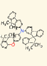 CC1(C)CC2(c3ccccc3-c3ccc(N(c4ccc5c(c4)C(C)(C)c4ccccc4O5)c4ccc5c(c4)C(C)(C)c4ccccc4-5)cc32)c2ccccc21